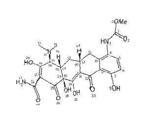 COC(=O)Nc1ccc(O)c2c1C[C@H]1C[C@H]3[C@H](N(C)C)C(O)=C(C(N)=O)C(=O)[C@@]3(O)C(O)=C1C2=O